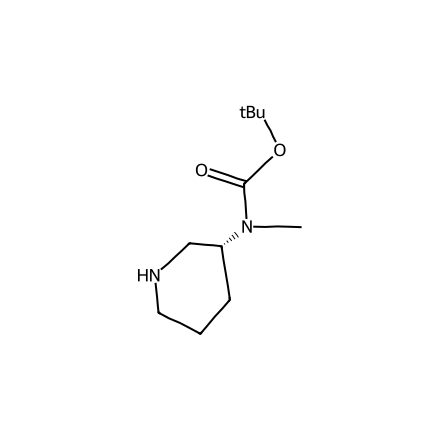 CN(C(=O)OC(C)(C)C)[C@@H]1CCCNC1